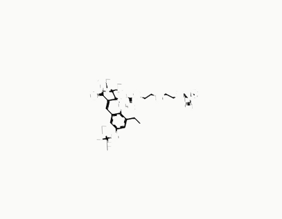 CCc1cc(OC(F)(F)F)cc2c1O[C@](OC(=O)OCCOCCO[N+](=O)[O-])(C(F)(F)F)C(C(=O)OC)=C2